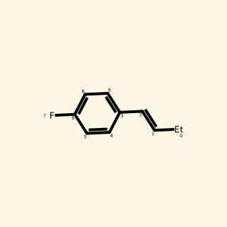 CCC=Cc1ccc(F)cc1